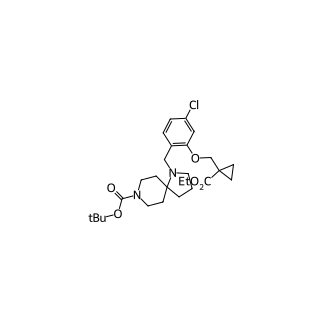 CCOC(=O)C1(COc2cc(Cl)ccc2CN2CCCC23CCN(C(=O)OC(C)(C)C)CC3)CC1